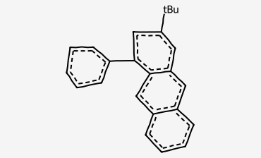 CC(C)(C)c1cc(-c2ccccc2)c2cc3ccccc3cc2c1